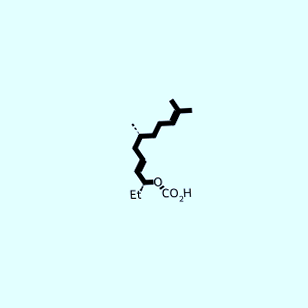 CC[C@H](/C=C/C[C@H](C)CCC=C(C)C)OC(=O)O